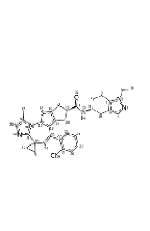 CCn1ncc2c1CC[C@H](NC(=O)[C@@H]1Cc3sc4c(c3C1)C(c1ccccc1Cl)=NC1(CC1)c1nnc(C)n1-4)C2